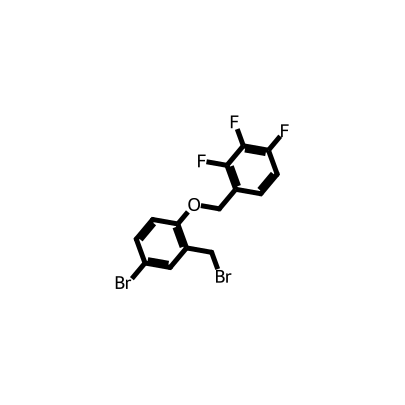 Fc1ccc(COc2ccc(Br)cc2CBr)c(F)c1F